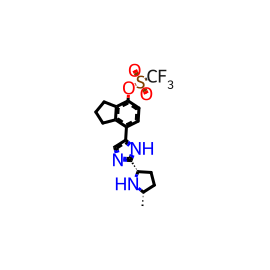 C[C@H]1CC[C@@H](c2ncc(-c3ccc(OS(=O)(=O)C(F)(F)F)c4c3CCC4)[nH]2)N1